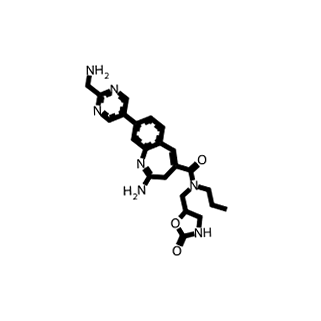 CCCN(CC1CNC(=O)O1)C(=O)C1=Cc2ccc(-c3cnc(CN)nc3)cc2N=C(N)C1